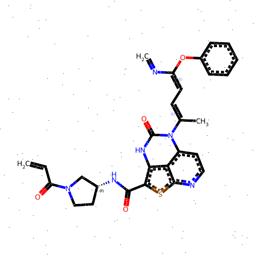 C=CC(=O)N1CC[C@@H](NC(=O)c2sc3nccc4c3c2NC(=O)N4/C(C)=C/C=C(\N=C)Oc2ccccc2)C1